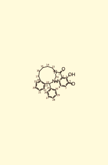 O=C1c2c(O)c(=O)ccn2N2CN1CCCCCc1ccccc1C2c1ccccc1